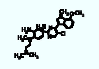 COc1cccc2c(-c3nc(C4(N)C=CC(N(C)CCN(C)C)=C(N)C4)ncc3Cl)cn(C)c12